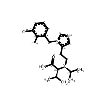 CC(C)[C@@H](C(N)=O)N(CCc1cncn1Cc1cccc(Cl)c1Cl)C(C)C